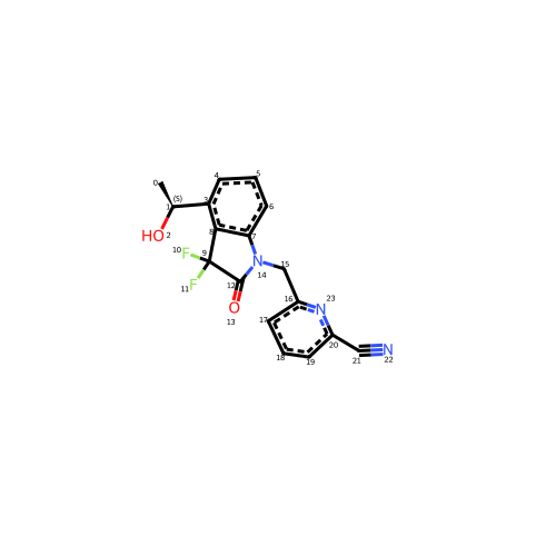 C[C@H](O)c1cccc2c1C(F)(F)C(=O)N2Cc1cccc(C#N)n1